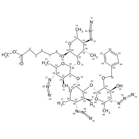 COC(=O)CCCCCO[C@H]1OC(C)[C@@H](N=[N+]=[N-])[C@H](C)C1O[C@H]1OC(C)[C@@H](N=[N+]=[N-])[C@H](C)C1O[C@H]1OC(C)[C@@H](N=[N+]=[N-])[C@H](C)C1O[C@H]1OC(C)[C@@H](N=[N+]=[N-])[C@H](O)C1OCc1ccccc1